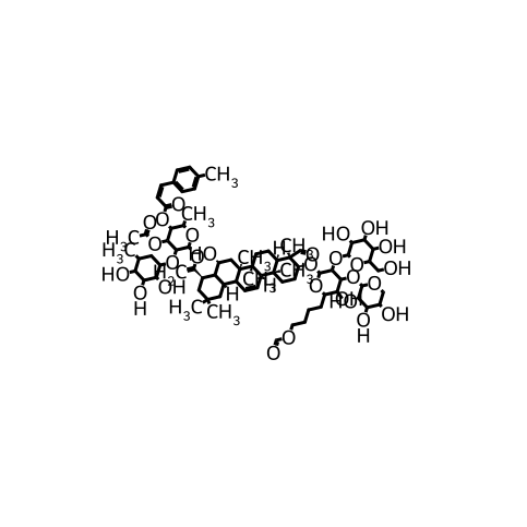 C=C(OC1OC(C)C(OC(=O)/C=C\c2ccc(C)cc2)C(OC(C)=O)C1OC1CC(C)C(O)C(O)C1O)[C@@H]1CC(C)(C)C[C@@H]2C1[C@H](O)C[C@]1(C)C2C=C[C@@H]2[C@@]3(C)CC[C@H](OC4OC(CCCCOC=O)C(O)C(OC5OCC(O)C(O)C5O)C4OC4OC(CO)C(O)C(O)C4O)[C@@](C)(C=O)[C@@H]3CC[C@]21C